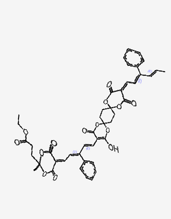 C/C=C/C(=C/C=C1C(=O)OC2(CCC3(CC2)OC(=O)C(/C=C/C(=C/C=C2C(=O)OC(C)(CCC(=O)OCC)OC2=O)c2ccccc2)=C(O)O3)OC1=O)c1ccccc1